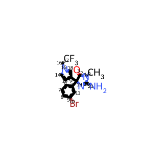 CN1C(=O)C(c2cccc(Br)c2)(c2ccn(CC(F)(F)F)c2)N=C1N